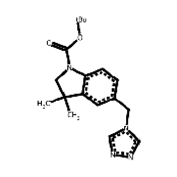 CC(C)(C)OC(=O)N1CC(C)(C)c2cc(Cn3cnnc3)ccc21